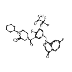 O=C(O)C(F)(F)F.O=C(c1cc(Cn2ncc(=O)c3ccc(F)cc32)ccc1F)N1CCN(C2CCCCC2)C(=O)C1